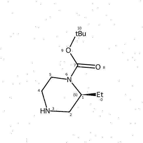 CC[C@H]1CNCCN1C(=O)OC(C)(C)C